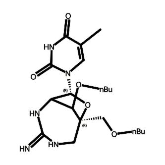 CCCCOC[C@]12CNC(=N)NC(C1OCCCC)[C@H](n1cc(C)c(=O)[nH]c1=O)O2